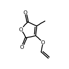 C=COC1=C(C)C(=O)OC1=O